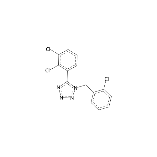 Clc1ccccc1Cn1nnnc1-c1cccc(Cl)c1Cl